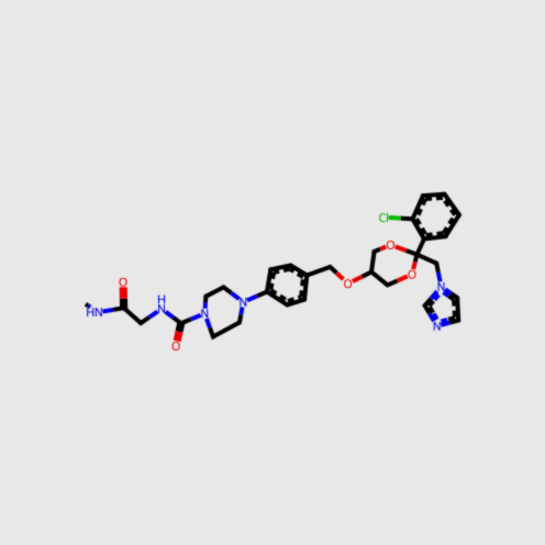 CNC(=O)CNC(=O)N1CCN(c2ccc(COC3COC(Cn4ccnc4)(c4ccccc4Cl)OC3)cc2)CC1